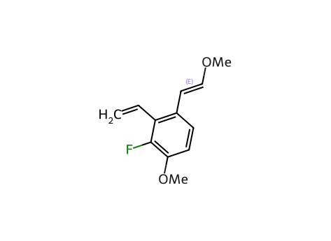 C=Cc1c(/C=C/OC)ccc(OC)c1F